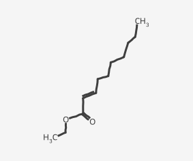 CCCCCCCC=CC(=O)OCC